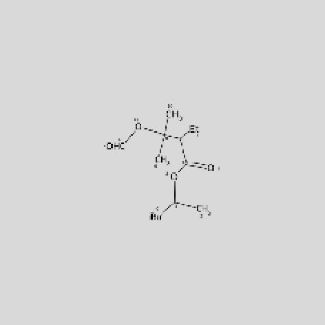 CCC(C)C(C)OC(=O)C(CC)C(C)(C)O[C]=O